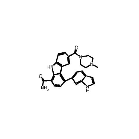 CN1CCN(C(=O)c2ccc3[nH]c4c(C(N)=O)ccc(-c5ccc6cc[nH]c6c5)c4c3c2)CC1